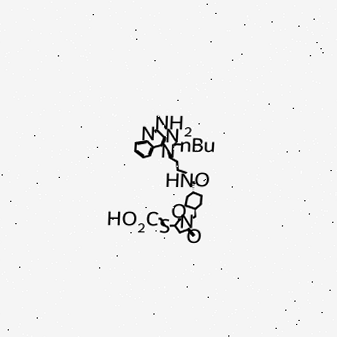 CCCCc1nc2c(N)nc3ccccc3c2n1CCCCNC(=O)[C@H]1CC[C@H](CN2C(=O)CC(SCC(=O)O)C2=O)CC1